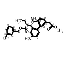 CCN(Cc1cc(C)ccc1-c1cc(CC(=O)OC)ccc1OC)C(=O)OCc1cccc(Cl)c1